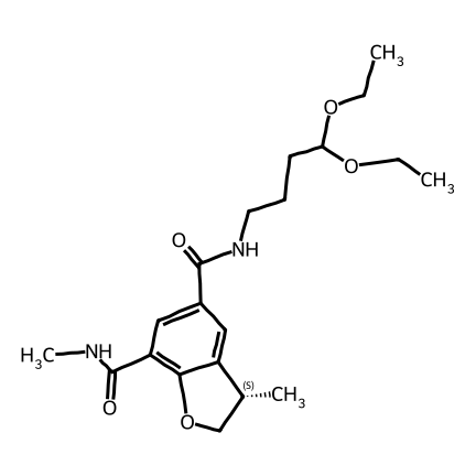 CCOC(CCCNC(=O)c1cc(C(=O)NC)c2c(c1)[C@H](C)CO2)OCC